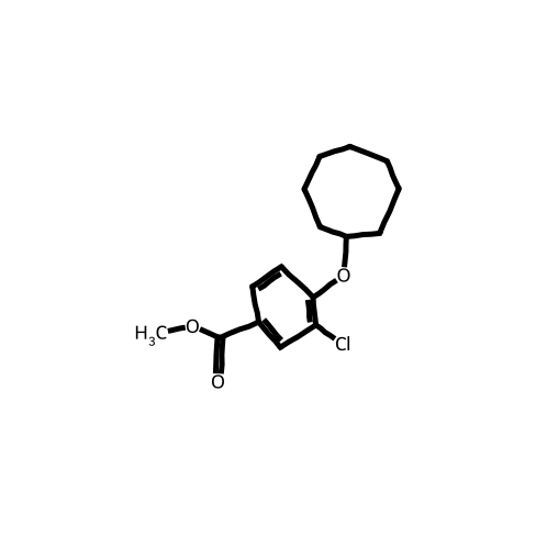 COC(=O)c1ccc(OC2CCCCCCC2)c(Cl)c1